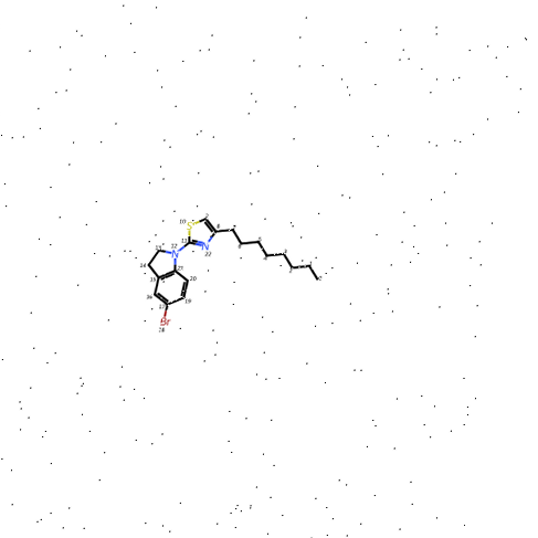 CCCCCCCCc1csc(N2CCc3cc(Br)ccc32)n1